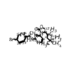 C[C@H](Nc1nccc(N2C(=O)OC[C@@H]2[C@@H](C)CC(C)(C)C)n1)c1ccc(Br)cn1